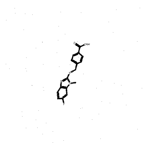 COC(=O)c1ccc(CSc2nc3ccc(F)cc3n2C)cc1